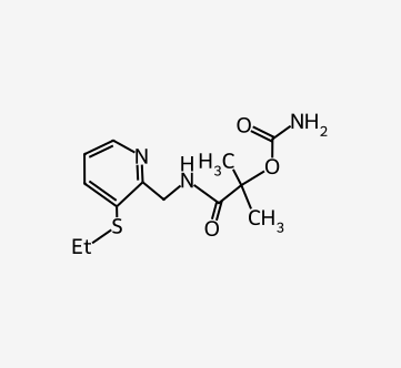 CCSc1cccnc1CNC(=O)C(C)(C)OC(N)=O